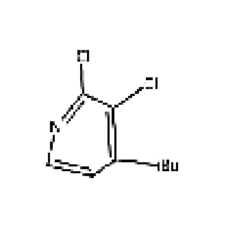 CCC(C)c1ccnc(Cl)c1Cl